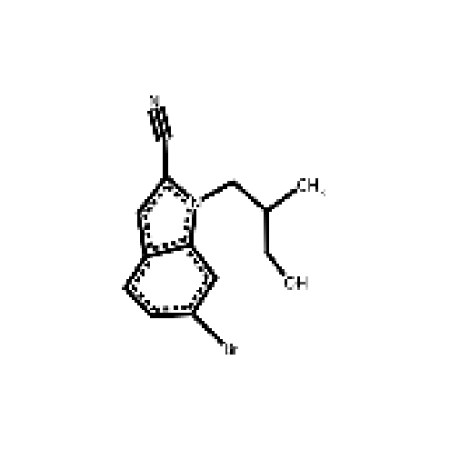 CC(CO)Cn1c(C#N)cc2ccc(Br)cc21